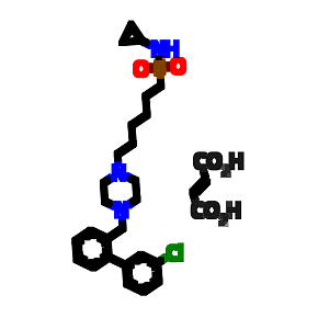 O=C(O)C=CC(=O)O.O=S(=O)(CCCCCCN1CCN(Cc2ccccc2-c2cccc(Cl)c2)CC1)NC1CC1